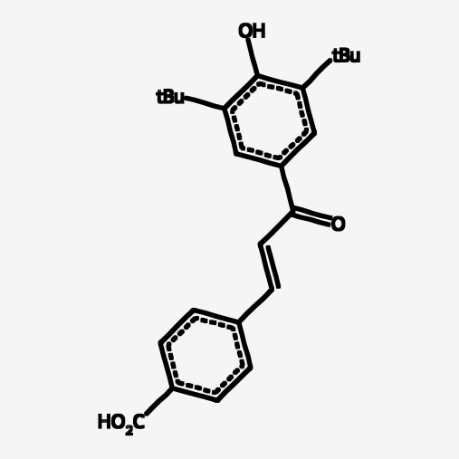 CC(C)(C)c1cc(C(=O)/C=C/c2ccc(C(=O)O)cc2)cc(C(C)(C)C)c1O